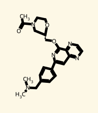 CC(=O)N1CCO[C@H](COc2nc(-c3ccc(CN(C)C)cc3)cc3nccnc23)C1